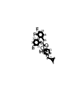 O=C(O[C@H]1C[N+]2(CC3CC3)CCC1CC2)N(Cc1ccc(F)c(F)c1)c1cccc(F)c1